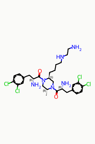 C[C@@H]1CN(C(=O)[C@H](N)Cc2ccc(Cl)c(Cl)c2)[C@@H](CCCCNCCN)CN1C(=O)[C@H](N)Cc1ccc(Cl)c(Cl)c1